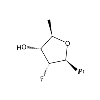 CC(C)[C@@H]1O[C@H](C)[C@@H](O)[C@H]1F